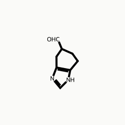 O=CC1CCc2[nH]cnc2C1